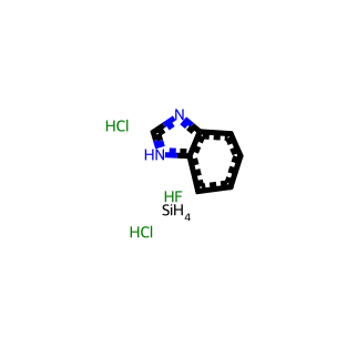 Cl.Cl.F.[SiH4].c1ccc2[nH]cnc2c1